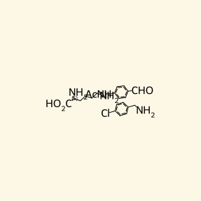 CC(=O)Nc1ccc(C=O)cc1.NCCCC[C@H](N)C(=O)O.NCc1ccc(Cl)cc1